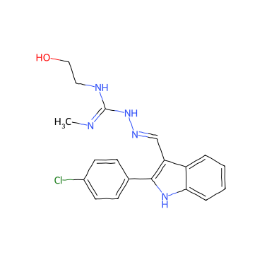 CN=C(NCCO)NN=Cc1c(-c2ccc(Cl)cc2)[nH]c2ccccc12